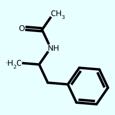 [CH2]C(Cc1ccccc1)NC(C)=O